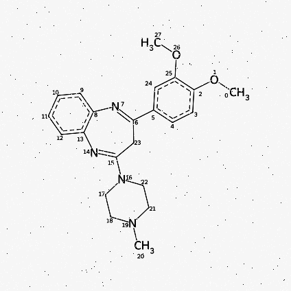 COc1ccc(C2=Nc3ccccc3N=C(N3CCN(C)CC3)C2)cc1OC